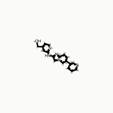 OCc1ccnc(Nc2cn3cc(-c4cccnc4)ccc3n2)c1